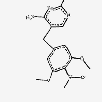 COc1cc(Cc2cnc(N)nc2N)cc(OC)c1[S+](C)[O-]